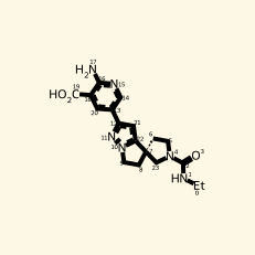 CCNC(=O)N1CC[C@@]2(CCn3nc(-c4cnc(N)c(C(=O)O)c4)cc32)C1